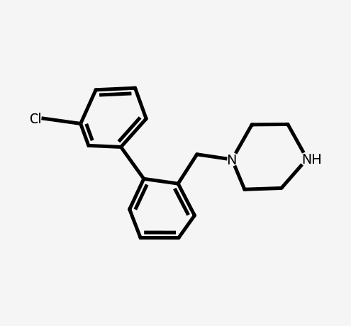 Clc1cccc(-c2ccccc2CN2CCNCC2)c1